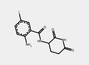 Nc1ccc(I)cc1C(=O)NC1CCC(=O)NC1=O